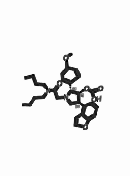 CCCCN(CCCC)C(=O)CN1C[C@H](c2cccc3occc23)[C@H](OC(=O)O)[C@H]1c1ccc(OC)cc1